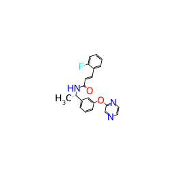 C[C@H](NC(=O)/C=C/c1ccccc1F)c1cccc(Oc2cnccn2)c1